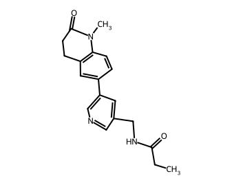 CCC(=O)NCc1cncc(-c2ccc3c(c2)CCC(=O)N3C)c1